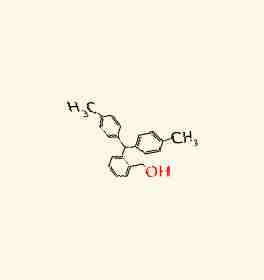 Cc1ccc(C(c2ccc(C)cc2)c2ccccc2CO)cc1